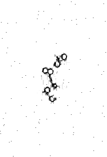 CC(C)(C)c1cc(NC(=O)NC2CC[C@@H](Oc3ccc(=N)n(C(=N)N4CCCCC4)c3)c3ccccc32)n(-c2ccc(Cl)c(O[C@H]3CCCNC3)c2)n1